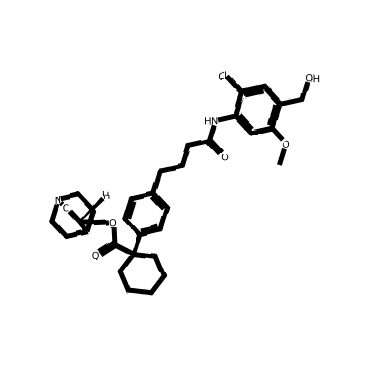 COc1cc(NC(=O)CCCc2ccc(C3(C(=O)O[C@H]4CN5CCC4CC5)CCCCC3)cc2)c(Cl)cc1CO